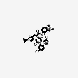 CN/C=C1/C=C(NC(=O)C(Cc2ccn(C3CC3)n2)N2CC(=O)N(c3cc(Cl)ccc3-n3cc(Cl)nn3)CC2=O)C=CC1=N